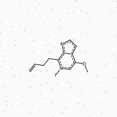 C=CCCc1c2nccc-2c(OC)cn1I